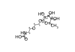 C[C@@H]1O[C@@H](OCCOCCNC(=O)O)[C@H](O)[C@H](O)[C@H]1O